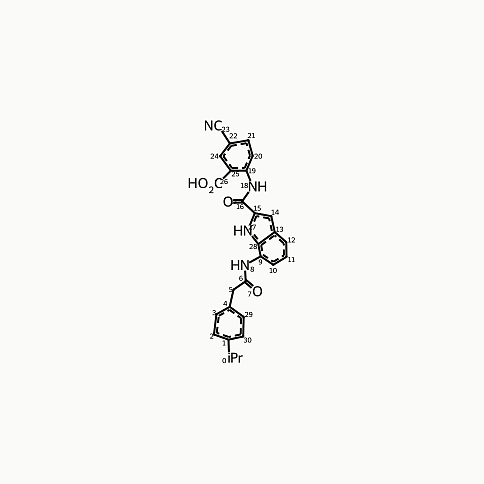 CC(C)c1ccc(CC(=O)Nc2cccc3cc(C(=O)Nc4ccc(C#N)cc4C(=O)O)[nH]c23)cc1